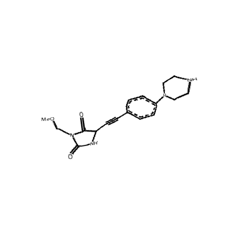 COCN1C(=O)NC(C#Cc2ccc(N3CCNCC3)cc2)C1=O